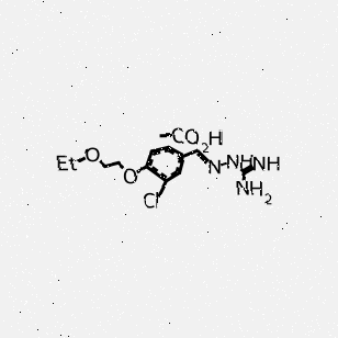 CC(=O)O.CCOCCOc1ccc(C=NNC(=N)N)cc1Cl